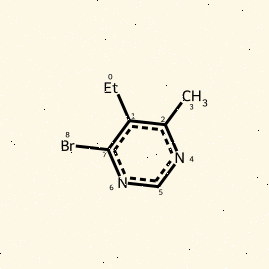 CCc1c(C)ncnc1Br